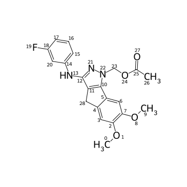 COc1cc2c(cc1OC)-c1c(c(Nc3cccc(F)c3)nn1COC(C)=O)C2